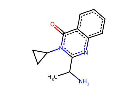 CC(N)c1nc2ccccc2c(=O)n1C1CC1